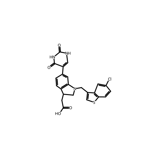 O=C(O)CC1CN(Cc2csc3ccc(Cl)cc23)c2cc(-c3c[nH]c(=O)[nH]c3=O)ccc21